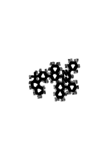 CC1(C)c2ccc(-c3ccc(-c4nc(-c5ccccc5)cc(-c5ccccc5-c5cccc6ccccc56)n4)c4ccccc34)cc2-c2c1ccc1ccccc21